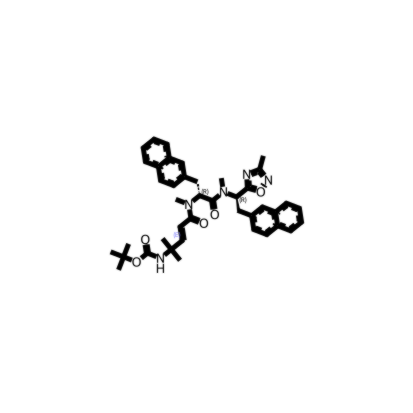 Cc1noc([C@@H](Cc2ccc3ccccc3c2)N(C)C(=O)[C@@H](Cc2ccc3ccccc3c2)N(C)C(=O)/C=C/C(C)(C)NC(=O)OC(C)(C)C)n1